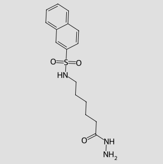 NNC(=O)CCCCCNS(=O)(=O)c1ccc2ccccc2c1